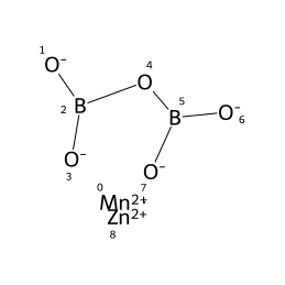 [Mn+2].[O-]B([O-])OB([O-])[O-].[Zn+2]